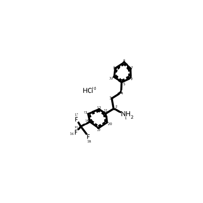 Cl.NC(CCc1ccccc1)c1ccc(C(F)(F)F)cc1